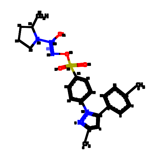 Cc1ccc(-c2cc(C(F)(F)F)nn2-c2ccc(S(=O)(=O)O/N=[N+](\[O-])N3CCCC3C(=O)O)cc2)cc1